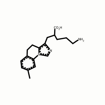 Cc1ccc2c(c1)-n1cnc(CC(CCCN)C(=O)O)c1CC2